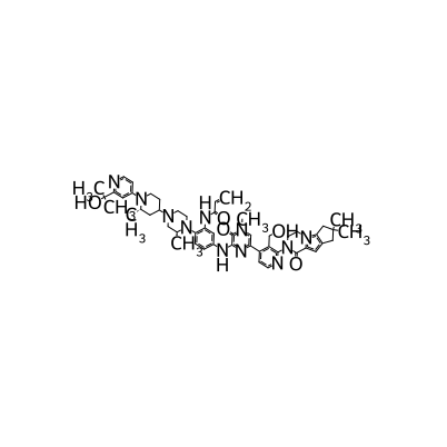 C=CC(=O)Nc1cc(Nc2nc(-c3ccnc(N4CCn5c(cc6c5CC(C)(C)C6)C4=O)c3CO)cn(C)c2=O)ccc1N1CCN(C2CCN(c3ccnc(C(C)(C)O)c3)[C@@H](C)C2)C[C@@H]1C